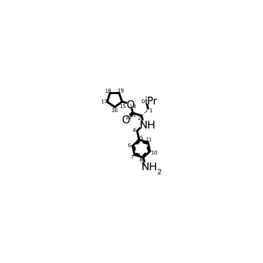 CC(C)C[C@H](NCc1ccc(N)cc1)C(=O)OC1CCCC1